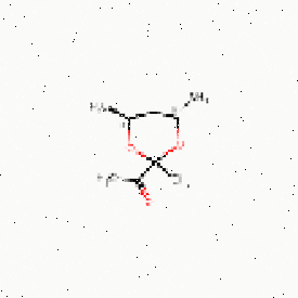 CC(=O)C1(C)O[C@@H](C)C[C@H](C)O1